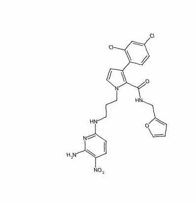 Nc1nc(NCCCn2ccc(-c3ccc(Cl)cc3Cl)c2C(=O)NCc2ccco2)ccc1[N+](=O)[O-]